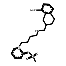 COc1cccc2c1CC(CNCCCCn1ccccc1=NS(C)(=O)=O)CC2